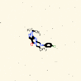 CC1Cn2c(nc3c(cnn3C(C)C)c2=O)CN1c1ccc(Cl)cc1